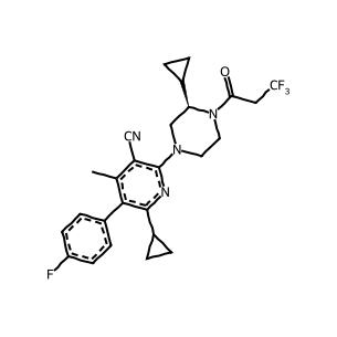 Cc1c(C#N)c(N2CCN(C(=O)CC(F)(F)F)[C@H](C3CC3)C2)nc(C2CC2)c1-c1ccc(F)cc1